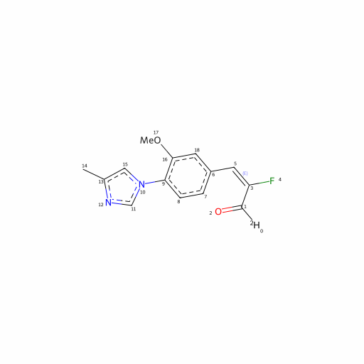 [2H]C(=O)/C(F)=C\c1ccc(-n2cnc(C)c2)c(OC)c1